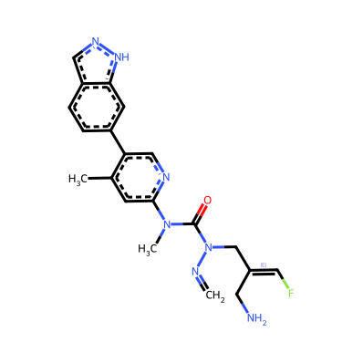 C=NN(C/C(=C/F)CN)C(=O)N(C)c1cc(C)c(-c2ccc3cn[nH]c3c2)cn1